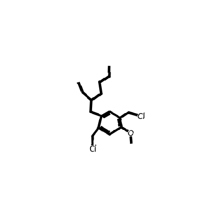 CCCCC(CC)Cc1cc(CCl)c(OC)cc1CCl